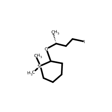 C[C@H](CCI)OC1CCCC[Si]1(C)C